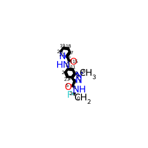 C=C(F)NC(=O)c1nn(C)c2cc(NC(=O)c3ccccn3)ccc12